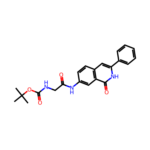 CC(C)(C)OC(=O)NCC(=O)Nc1ccc2cc(-c3ccccc3)[nH]c(=O)c2c1